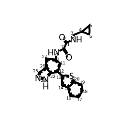 O=C(NCC1CC1)C(=O)Nc1cc(-c2cc3ccccc3s2)c2[nH]ncc2c1